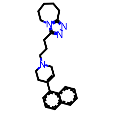 C1=C(c2cccc3ccccc23)CCN(CCCc2nnc3n2CCCCC3)C1